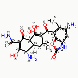 Cc1c(N)cc2[nH]c(=O)oc2c1C(=O)C1=C(O)[C@]2(O)C(=O)C(C(N)=O)=C(O)[C@@H](N)[C@@H]2C[C@@H]1C